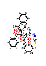 O=C(c1ccccc1)[C@@]1(O)[C@@](O)(C(=O)c2ccccc2)COC(N=C=S)[C@@]1(O)C(=O)c1ccccc1